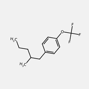 CCCC(C)Cc1ccc(OC(F)(F)F)cc1